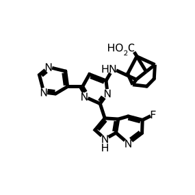 O=C(O)C1C2CCC(CC2)C1Nc1cc(-c2cncnc2)nc(-c2c[nH]c3ncc(F)cc23)n1